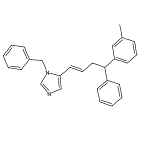 Cc1cccc(C(CC=Cc2cncn2Cc2ccccc2)c2ccccc2)c1